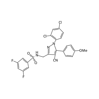 COc1ccc(-c2c(C#N)c(CNS(=O)(=O)c3cc(F)cc(F)c3)nn2-c2ccc(Cl)cc2Cl)cc1